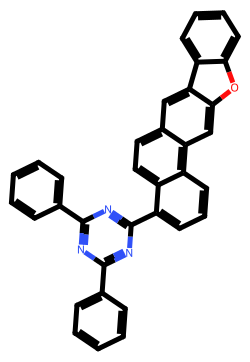 c1ccc(-c2nc(-c3ccccc3)nc(-c3cccc4c3ccc3cc5c(cc34)oc3ccccc35)n2)cc1